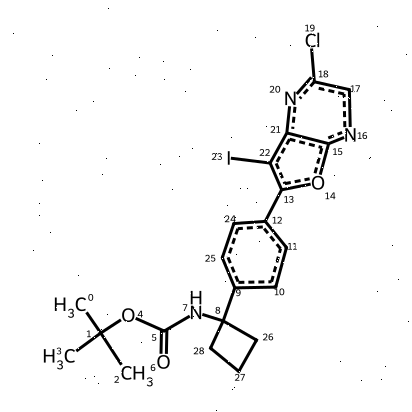 CC(C)(C)OC(=O)NC1(c2ccc(-c3oc4ncc(Cl)nc4c3I)cc2)CCC1